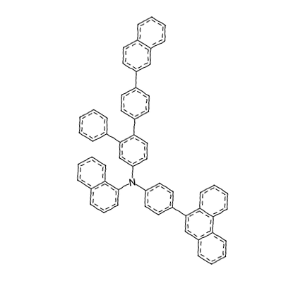 c1ccc(-c2cc(N(c3ccc(-c4cc5ccccc5c5ccccc45)cc3)c3cccc4ccccc34)ccc2-c2ccc(-c3ccc4ccccc4c3)cc2)cc1